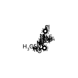 Cc1cnc(NC(=O)c2ccccc2-n2cnc(Cn3nc(-c4ccc(Cl)cc4)n(CC(O)C(F)(F)F)c3=O)n2)s1